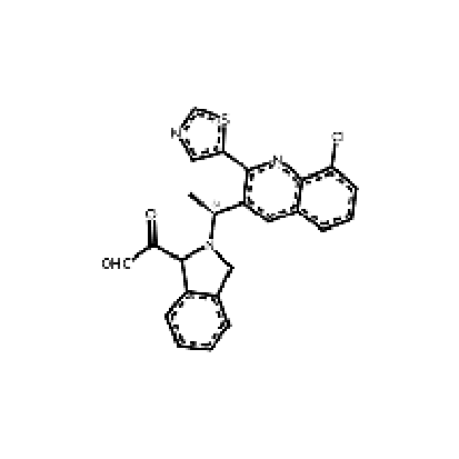 C[C@@H](c1cc2cccc(Cl)c2nc1-c1cncs1)N1Cc2ccccc2C1C(=O)C=O